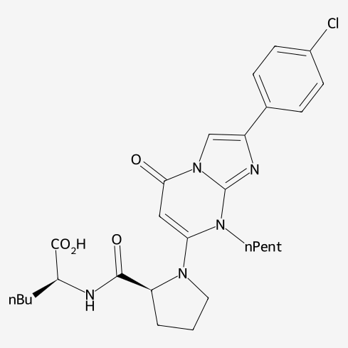 CCCCCn1c(N2CCC[C@H]2C(=O)N[C@@H](CCCC)C(=O)O)cc(=O)n2cc(-c3ccc(Cl)cc3)nc12